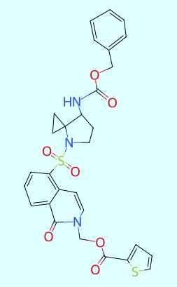 O=C(NC1CCN(S(=O)(=O)c2cccc3c(=O)n(COC(=O)c4cccs4)ccc23)C12CC2)OCc1ccccc1